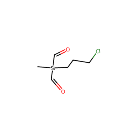 C[Si](C=O)(C=O)CCCCl